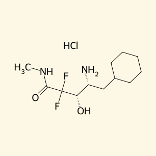 CNC(=O)C(F)(F)[C@@H](O)[C@H](N)CC1CCCCC1.Cl